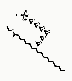 C1CO1.C1CO1.C1CO1.C1CO1.C1CO1.C1CO1.CCCCCCCCCCCCCCCCCC(=O)OCC.O=P(O)(O)O